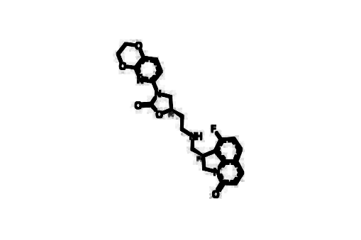 O=C1O[C@H](CCNC[C@@H]2Cn3c(=O)ccc4ccc(F)c2c43)CN1c1ccc2c(n1)OCCO2